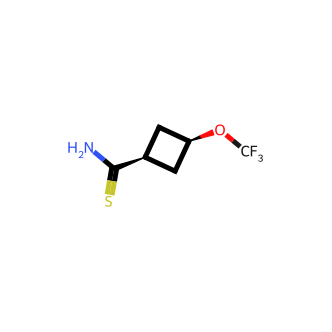 NC(=S)[C@H]1C[C@@H](OC(F)(F)F)C1